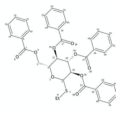 CCSC1O[C@H](COC(=O)c2ccccc2)[C@@H](OC(=O)c2ccccc2)[C@H](OC(=O)c2ccccc2)[C@H]1OC(=O)c1ccccc1